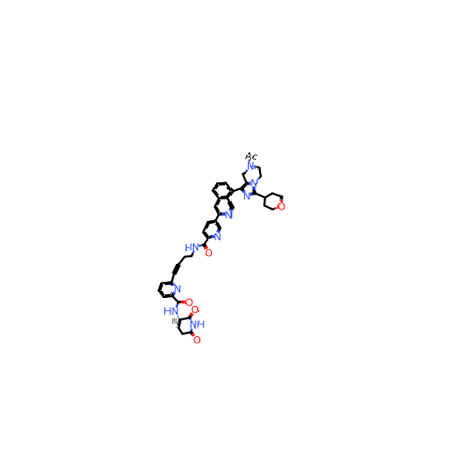 CC(=O)N1CCn2c(C3CCOCC3)nc(-c3cccc4cc(-c5ccc(C(=O)NCCC#Cc6cccc(C(=O)N[C@H]7CCC(=O)NC7=O)n6)nc5)ncc34)c2C1